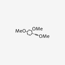 COC#Cc1ccc(OC)cc1OC